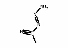 CP(#N)N=NN